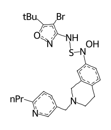 CCCc1ccc(CN2CCc3ccc(N(O)SNc4noc(C(C)(C)C)c4Br)cc3C2)cn1